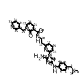 CN(C)Cc1ccc(Nc2nc(N)n(-c3cccc(CCNC(=O)c4cccn(Cc5cccnc5)c4=O)n3)n2)cc1